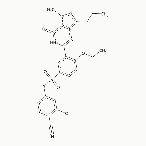 CCCc1nc(C)c2c(=O)[nH]c(-c3cc(S(=O)(=O)Nc4ccc(C#N)c(Cl)c4)ccc3OCC)nn12